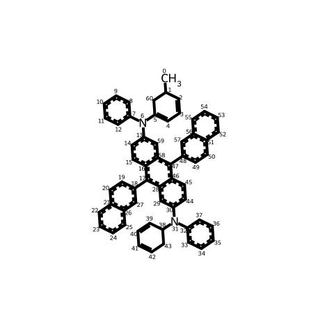 CC1C=CC=C(N(c2ccccc2)c2ccc3c(-c4ccc5ccccc5c4)c4cc(N(c5ccccc5)C5C=CC=CC5)ccc4c(-c4ccc5ccccc5c4)c3c2)C1